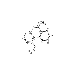 CCc1nccc(CC(C)c2ccncn2)n1